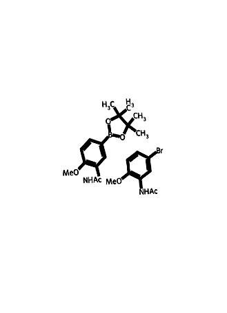 COc1ccc(B2OC(C)(C)C(C)(C)O2)cc1NC(C)=O.COc1ccc(Br)cc1NC(C)=O